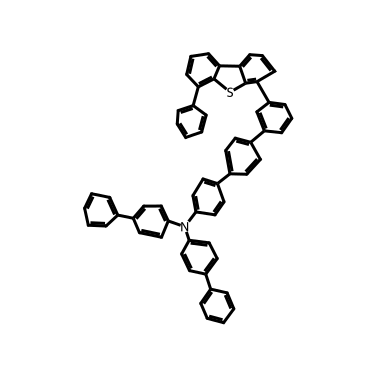 c1ccc(-c2ccc(N(c3ccc(-c4ccccc4)cc3)c3ccc(-c4ccc(-c5cccc(-c6cccc7c6sc6c(-c8ccccc8)cccc67)c5)cc4)cc3)cc2)cc1